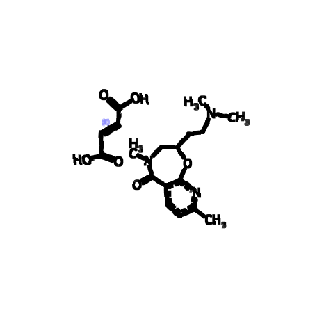 Cc1ccc2c(n1)OC(CCN(C)C)CN(C)C2=O.O=C(O)/C=C/C(=O)O